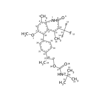 COc1cc(C)c2[nH]c(=O)c(C(F)(F)F)c(C)c2c1-c1ccc([C@@H](C)COC(=O)NC(C)(C)C)cc1